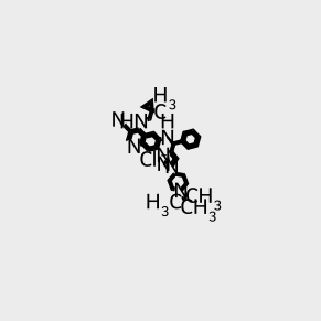 CC1(CNc2c(C#N)cnc3c(Cl)cc(N[C@@H](c4ccccc4)c4cn(C5CCN(C(C)(C)C)CC5)nn4)cc23)CC1